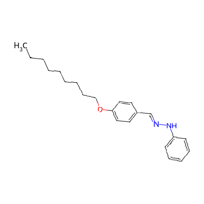 CCCCCCCCCOc1ccc(C=NNc2ccccc2)cc1